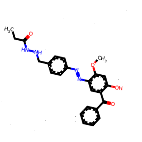 CCC(=O)NNCc1ccc(/N=N/c2cc(C(=O)c3ccccc3)c(O)cc2OC)cc1